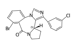 O=C1c2c(Br)cccc2-n2cnc(-c3cccc(Cl)c3)c2[C@@H]2CCCN12